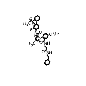 COc1ccc(-n2nc(C(F)(F)F)cc2C(=O)Nc2ccc(-c3ccccc3S(C)(=O)=O)cc2F)c(C(=O)NCCC(=O)NCCc2ccccc2)c1